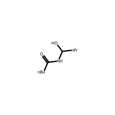 CCC[CH]C(=O)NC(O)CCC